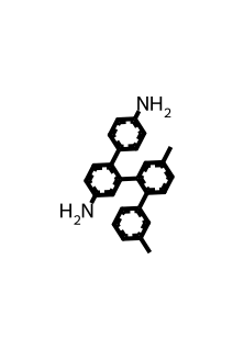 Cc1cccc(-c2ccc(C)cc2-c2cc(N)ccc2-c2ccc(N)cc2)c1